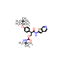 CC(C)(C)NC(=O)OCC(C(=O)Nc1cc2ccncc2s1)c1ccc(O[Si](C)(C)C(C)(C)C)cc1